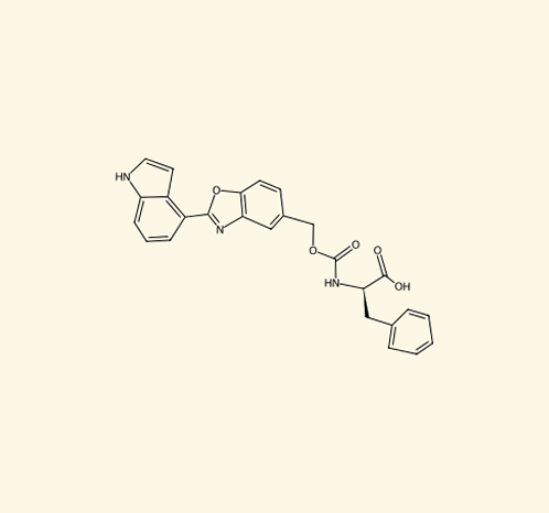 O=C(N[C@H](Cc1ccccc1)C(=O)O)OCc1ccc2oc(-c3cccc4[nH]ccc34)nc2c1